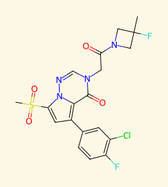 CC1(F)CN(C(=O)Cn2cnn3c(S(C)(=O)=O)cc(-c4ccc(F)c(Cl)c4)c3c2=O)C1